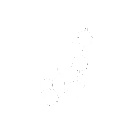 Cc1cnc2cccc([C@@H](C)NC(=O)N3CCN(c4ccncc4F)CC3C)n12